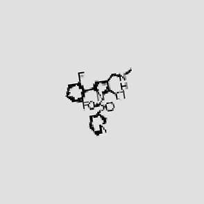 CNCc1cc(-c2c(F)cccc2F)n(S(=O)(=O)c2cccnc2)c1Cl